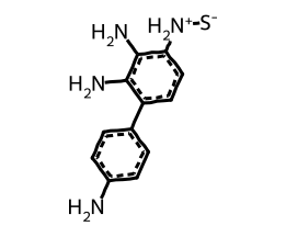 Nc1ccc(-c2ccc([NH2+][S-])c(N)c2N)cc1